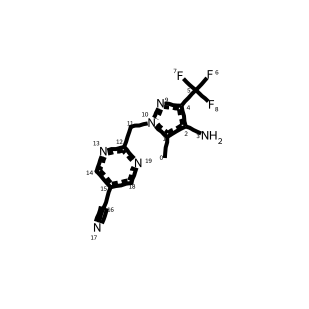 Cc1c(N)c(C(F)(F)F)nn1Cc1ncc(C#N)cn1